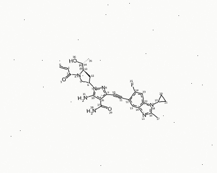 C=CC(=O)N1CC(n2nc(C#Cc3cc4nc(C)n(C5CC5)c4cc3F)c(C(N)=O)c2N)C[C@@H]1[C@@H](C)O